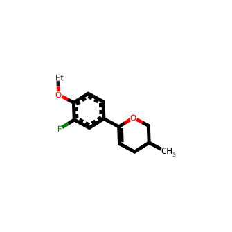 CCOc1ccc(C2=CCC(C)CO2)cc1F